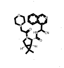 CC1(C)[C@@H]2[C@@H](C(=O)NC(C#N)c3cncc4ccccc34)N(C(=O)CN3CCOCC3)C[C@@H]21